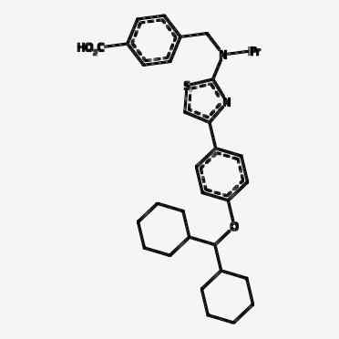 CC(C)N(Cc1ccc(C(=O)O)cc1)c1nc(-c2ccc(OC(C3CCCCC3)C3CCCCC3)cc2)cs1